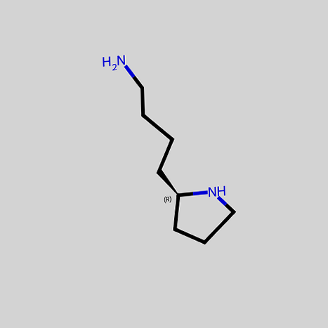 NCCCC[C@@H]1CCCN1